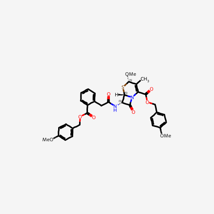 COc1ccc(COC(=O)C2=C(C)[C@@H](OC)S[C@H]3[C@@H](NC(=O)Cc4ccccc4C(=O)OCc4ccc(OC)cc4)C(=O)N23)cc1